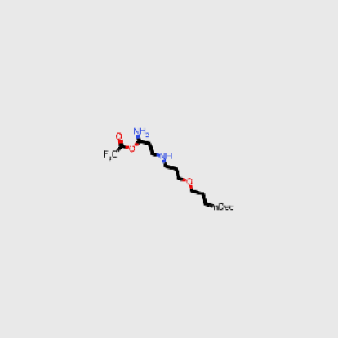 CCCCCCCCCCCCCOCCCNCCC(N)OC(=O)C(F)(F)F